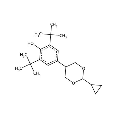 CC(C)(C)c1cc(C2COC(C3CC3)OC2)cc(C(C)(C)C)c1O